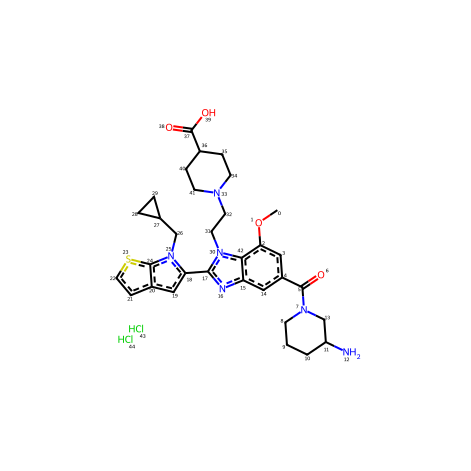 COc1cc(C(=O)N2CCCC(N)C2)cc2nc(-c3cc4ccsc4n3CC3CC3)n(CCN3CCC(C(=O)O)CC3)c12.Cl.Cl